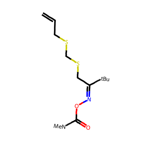 C=CCSCSCC(=NOC(=O)NC)C(C)(C)C